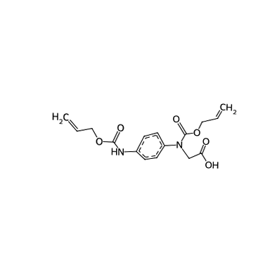 C=CCOC(=O)Nc1ccc(N(CC(=O)O)C(=O)OCC=C)cc1